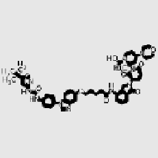 CC(C)(C)c1cc(NC(=O)Nc2ccc(-n3cnc4cc(OCCCCC(=O)Nc5cccc6c5CN(C5CCC(=O)N(C7(C)CC(N8CCOCC8)CCN7C(=O)O)C5=O)C6=O)ccc43)cc2)no1